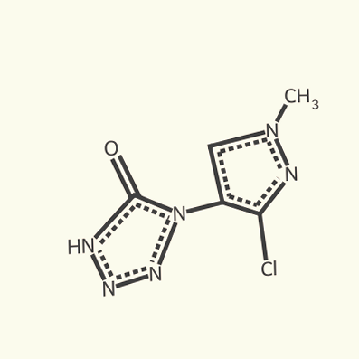 Cn1cc(-n2nn[nH]c2=O)c(Cl)n1